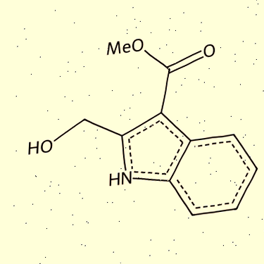 COC(=O)c1c(CO)[nH]c2ccccc12